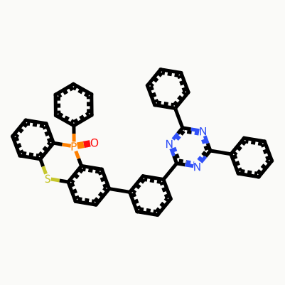 O=P1(c2ccccc2)c2ccccc2Sc2ccc(-c3cccc(-c4nc(-c5ccccc5)nc(-c5ccccc5)n4)c3)cc21